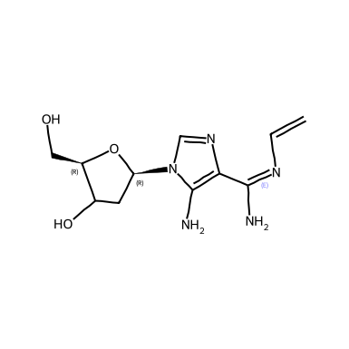 C=C/N=C(/N)c1ncn([C@H]2CC(O)[C@@H](CO)O2)c1N